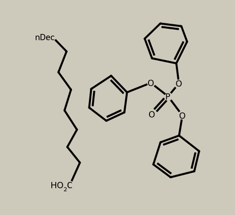 CCCCCCCCCCCCCCCCCC(=O)O.O=P(Oc1ccccc1)(Oc1ccccc1)Oc1ccccc1